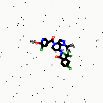 COc1ncc(C(=O)N2CCC(NC(=O)c3ccc(Cl)cc3C(F)(F)F)c3c2cnn3C(C)C)cc1Cl